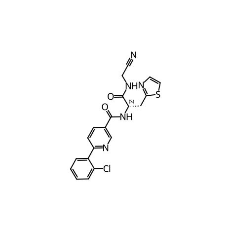 N#CCNC(=O)[C@H](Cc1nccs1)NC(=O)c1ccc(-c2ccccc2Cl)nc1